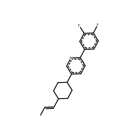 C/C=C/C1CCC(c2ccc(-c3ccc(F)c(F)c3)nc2)CC1